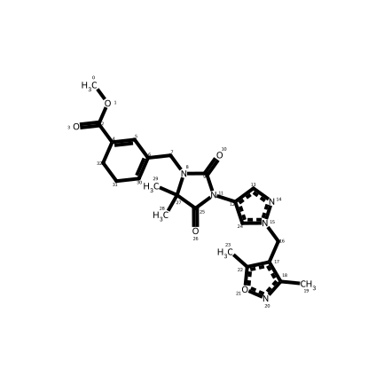 COC(=O)C1=CC(CN2C(=O)N(c3cnn(Cc4c(C)noc4C)c3)C(=O)C2(C)C)=CCC1